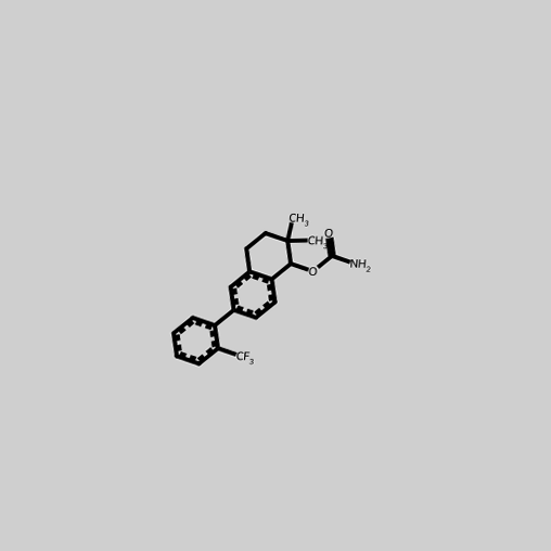 CC1(C)CCc2cc(-c3ccccc3C(F)(F)F)ccc2C1OC(N)=O